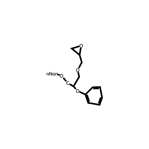 CCCCCCCCCOCC(COCC1CO1)Oc1ccccc1